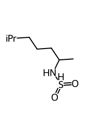 CC(C)CCCC(C)N[SH](=O)=O